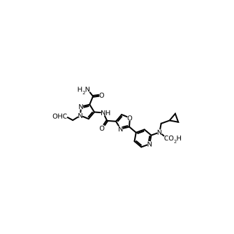 NC(=O)c1nn(CC=O)cc1NC(=O)c1coc(-c2ccnc(N(CC3CC3)C(=O)O)c2)n1